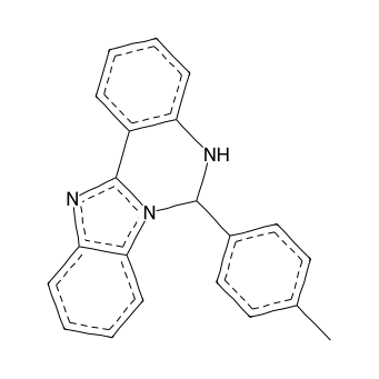 Cc1ccc(C2Nc3ccccc3-c3nc4ccccc4n32)cc1